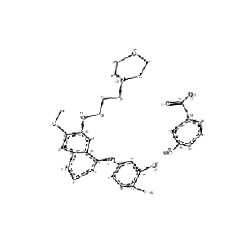 COc1cc2ncnc(Nc3ccc(F)c(Cl)c3)c2cc1OCCCN1CCOCC1.O=C(O)c1cccc(O)c1